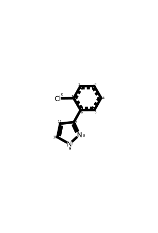 Clc1ccccc1C1=N[N]C=C1